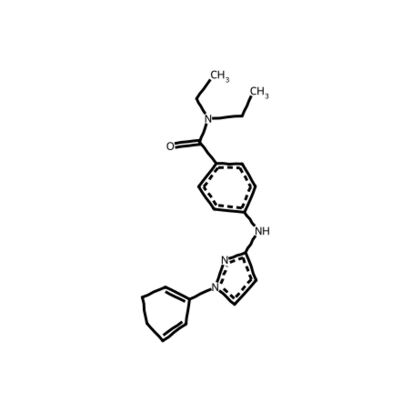 CCN(CC)C(=O)c1ccc(Nc2ccn(C3=CCCC=C3)n2)cc1